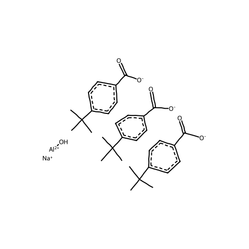 CC(C)(C)c1ccc(C(=O)[O-])cc1.CC(C)(C)c1ccc(C(=O)[O-])cc1.CC(C)(C)c1ccc(C(=O)[O-])cc1.[Na+].[OH][Al+2]